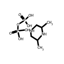 CC1CNCC(C)N1.O=P(O)(O)OP(=O)(O)O